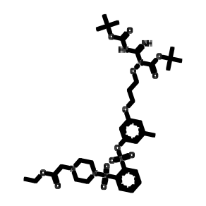 CCOC(=O)CN1CCN(S(=O)(=O)c2ccccc2S(=O)(=O)Oc2cc(C)cc(OCCCON(C(=N)NC(=O)OC(C)(C)C)C(=O)OC(C)(C)C)c2)CC1